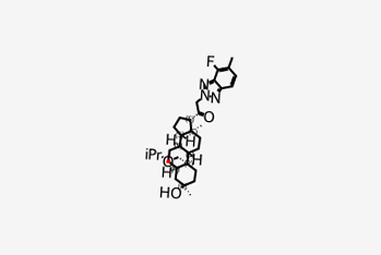 Cc1ccc2nn(CC(=O)[C@H]3CC[C@H]4[C@@H]5CC[C@@H]6C[C@](C)(O)CC[C@]6(COC(C)C)[C@H]5CC[C@]34C)nc2c1F